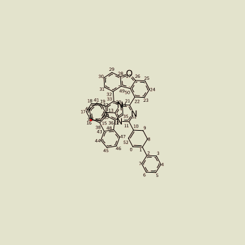 C1=C(c2ccccc2)CCC(c2nc(-c3ccccc3)nc(-c3cccc4oc5cccc(-c6ccc7c8c(cccc68)-c6ccccc6-7)c5c34)n2)=C1